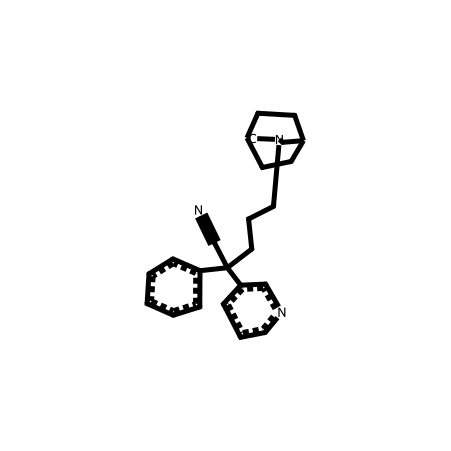 N#CC(CCCN1CC2CCC(CC2)C1)(c1ccccc1)c1cccnc1